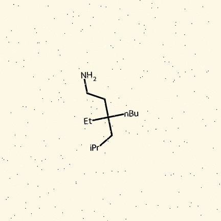 CCCCC(CC)(CCN)CC(C)C